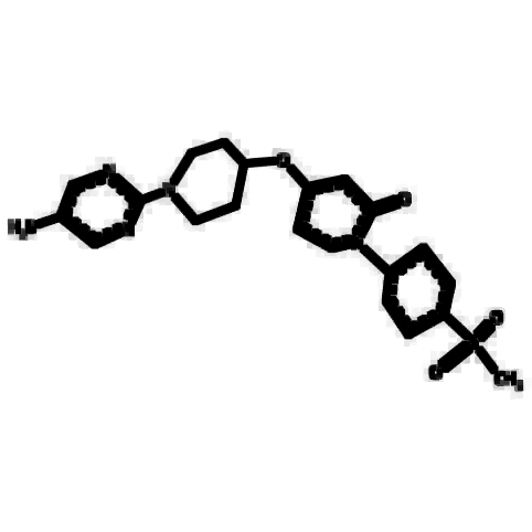 Bc1cnc(N2CCC(Oc3ccn(-c4ccc(S(C)(=O)=O)cc4)c(=O)c3)CC2)nc1